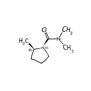 C[C@@H]1CCC[C@@H]1C(=O)N(C)C